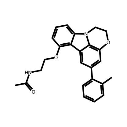 CC(=O)NCCOc1cccc2c1c1cc(-c3ccccc3C)cc3c1n2CCO3